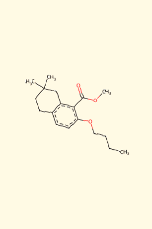 CCCCOc1ccc2c(c1C(=O)OC)CC(C)(C)CC2